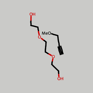 C#CCOC.OCCOCCOCCO